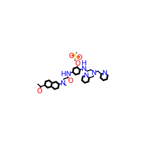 CC(=O)c1ccc2cc(N(C)CC(=O)Nc3ccc(NCCN(Cc4ccccn4)Cc4ccccn4)c(OCS(C)(=O)=O)c3)ccc2c1